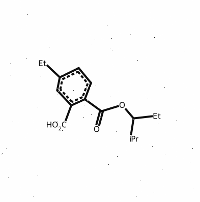 CCc1ccc(C(=O)OC(CC)C(C)C)c(C(=O)O)c1